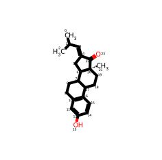 CC(C)/C=C1\CC2C3CCc4cc(O)ccc4C3CC[C@]2(C)C1=O